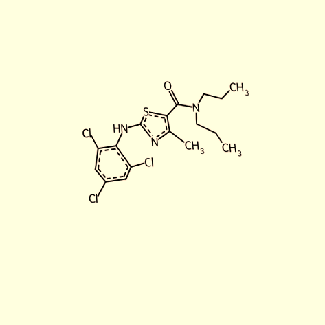 CCCN(CCC)C(=O)c1sc(Nc2c(Cl)cc(Cl)cc2Cl)nc1C